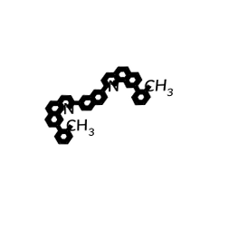 Cc1ccccc1-c1ccc2ccc3ccc(-c4ccc5ccc(-c6ccc7ccc8ccc(-c9ccccc9C)cc8c7n6)cc5c4)nc3c2c1